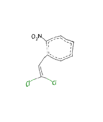 O=[N+]([O-])c1ccccc1C=C(Cl)Cl